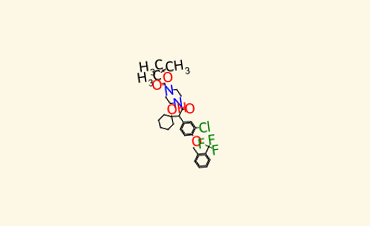 CC(C)(C)OC(=O)N1CCN(C(=O)C(c2ccc(OCc3ccccc3C(F)(F)F)c(Cl)c2)C2(O)CCCCC2)CC1